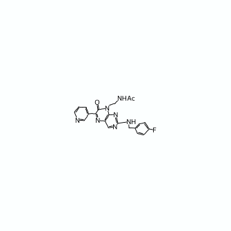 CC(=O)NCCn1c(=O)c(-c2cccnc2)nc2cnc(NCc3ccc(F)cc3)nc21